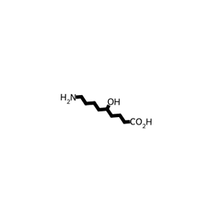 NCCCC[C](O)CCCC(=O)O